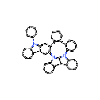 c1ccc(-n2c3ccccc3c3cc4c(cc32)c2ccccc2c2ccccc2n2c3ccccc3c3c5ccccc5n4c32)cc1